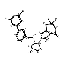 Cc1cc(C)cc(-c2cccc(C[C@H]3COCCN3c3nc4c(s3)C(=O)CC(C)(C)C4)c2)c1